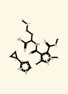 COC(=O)c1c(C(=O)NC(CCSC)C(=O)O)c(C)nn1C.c1cc(C2CC2)on1